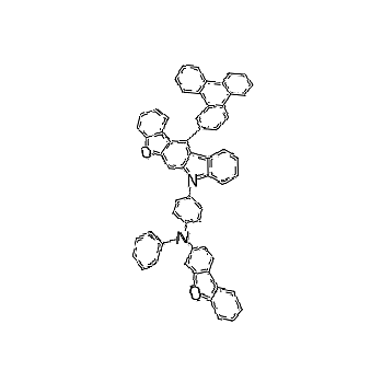 c1ccc(N(c2ccc(-n3c4ccccc4c4c(-c5ccc6c7ccccc7c7ccccc7c6c5)c5c(cc43)oc3ccccc35)cc2)c2ccc3c(c2)oc2ccccc23)cc1